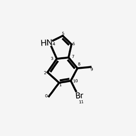 Cc1cc2[nH]ccc2c(C)c1Br